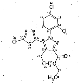 CCOC(=O)c1nn(-c2ccc(Cl)cc2Cl)c(-c2ccc(Cl)s2)c1CC